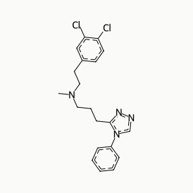 CN(CCCc1nncn1-c1ccccc1)CCc1ccc(Cl)c(Cl)c1